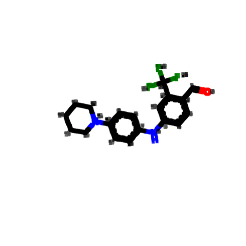 O=Cc1ccc(Nc2ccc(N3CCCCC3)cc2)cc1C(F)(F)F